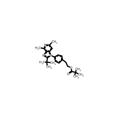 Cc1cc2c(nc(C(C)(C)C)n2-c2ccc(CCOC(=O)C(C)(C)C)cc2)c(C)n1